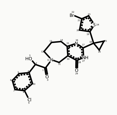 O=C(C(O)c1cccc(Cl)c1)N1CCCc2nc(C3(c4cc(Br)cs4)CC3)[nH]c(=O)c2C1